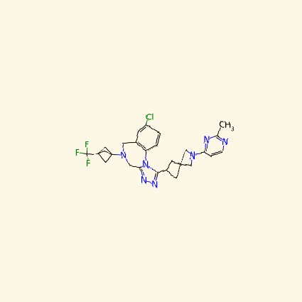 Cc1nccc(N2CC3(CC(c4nnc5n4-c4ccc(Cl)cc4CN(C46CC(C(F)(F)F)(C4)C6)C5)C3)C2)n1